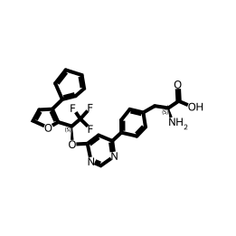 N[C@@H](Cc1ccc(-c2cc(O[C@@H](c3occc3-c3ccccc3)C(F)(F)F)ncn2)cc1)C(=O)O